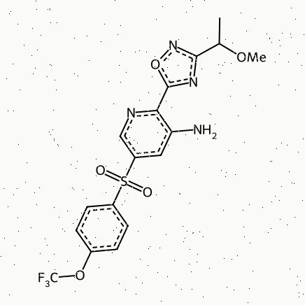 COC(C)c1noc(-c2ncc(S(=O)(=O)c3ccc(OC(F)(F)F)cc3)cc2N)n1